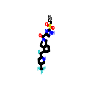 CCS(=O)(=O)c1nc(C(=O)N2CCc3c(cccc3C(F)c3ccc(C(F)(F)F)cn3)C2)c[nH]1